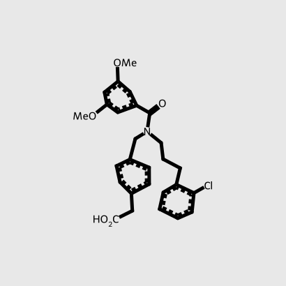 COc1cc(OC)cc(C(=O)N(CCCc2ccccc2Cl)Cc2ccc(CC(=O)O)cc2)c1